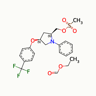 CCOC=O.CS(=O)(=O)OC[C@@H]1C[C@H](Oc2ccc(C(F)(F)F)cc2)CN1c1ccccc1